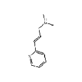 C[SiH](C)CC=Cc1ccccn1